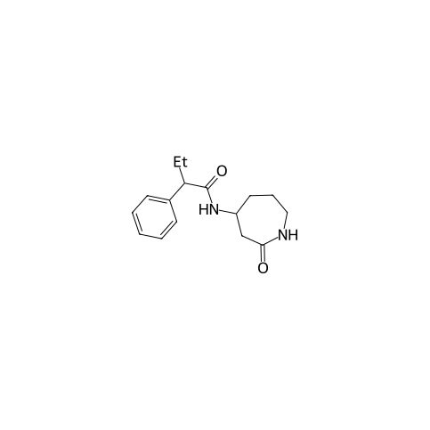 CCC(C(=O)NC1CCCNC(=O)C1)c1ccccc1